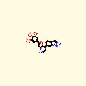 COc1cc(-c2cc3nccc(-c4ccc5cc[nH]c5c4)c3o2)cc(OC)c1OC